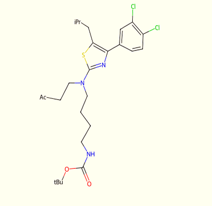 CC(=O)CCN(CCCCNC(=O)OC(C)(C)C)c1nc(-c2ccc(Cl)c(Cl)c2)c(CC(C)C)s1